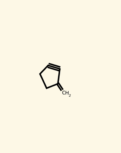 C=C1C#CCC1